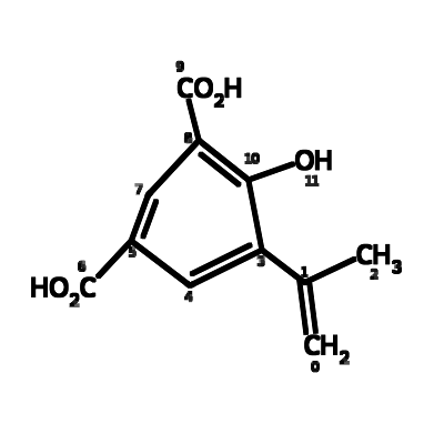 C=C(C)c1cc(C(=O)O)cc(C(=O)O)c1O